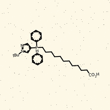 CC(C)(C)n1cc([PH](CCCCCCCCCCCC(=O)O)(c2ccccc2)c2ccccc2)cn1